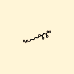 CC/C=C/C=C/OC(=O)CC(=O)O